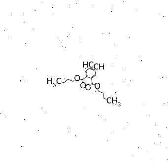 C#C.CCCCOC(=O)c1ccccc1C(=O)OCCCC